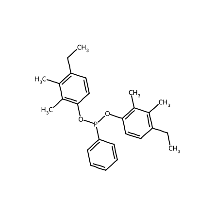 CCc1ccc(OP(Oc2ccc(CC)c(C)c2C)c2ccccc2)c(C)c1C